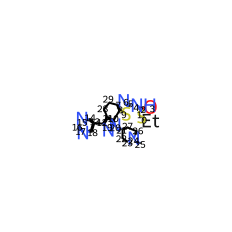 CCSC(=O)Nc1nc2c(s1)-c1c(c(-c3cncnc3)nn1C1CCN(C)CC1)CC2